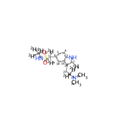 [2H]c1[nH]c2ccc(C([2H])([2H])S(=O)(=O)NC([2H])([2H])[2H])cc2c1CC([2H])([2H])N(C)C